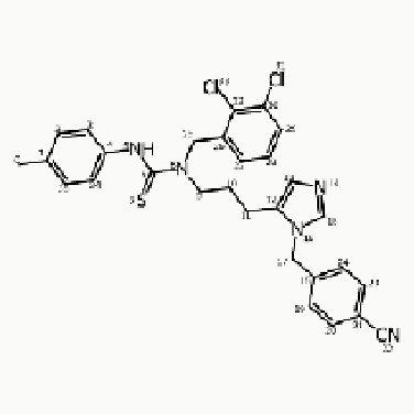 Cc1ccc(NC(=S)N(CCCc2cncn2Cc2ccc(C#N)cc2)Cc2cccc(Cl)c2Cl)cc1